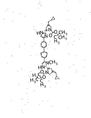 CN1C(c2ccc(-c3ccc(-c4c[nH]c([C@@H]5C[C@@H](CC6CC6)CN5C(=O)OC(C)(C)C)n4)cc3)cc2)=CNC1[C@@H]1C[C@@H](CC2CC2)CN1C(=O)OC(C)(C)C